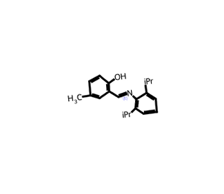 Cc1ccc(O)c(/C=N/c2c(C(C)C)cccc2C(C)C)c1